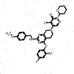 COc1ccc(CNc2nc3c(c(Oc4ccc(F)cc4Cl)n2)CCN(c2cnn(C4CCCCO4)c(=O)c2Cl)C3)cc1